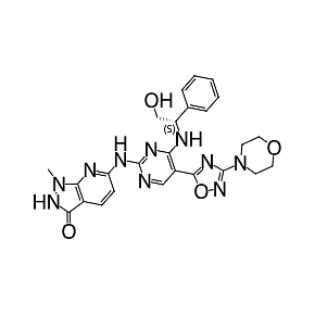 Cn1[nH]c(=O)c2ccc(Nc3ncc(-c4nc(N5CCOCC5)no4)c(N[C@H](CO)c4ccccc4)n3)nc21